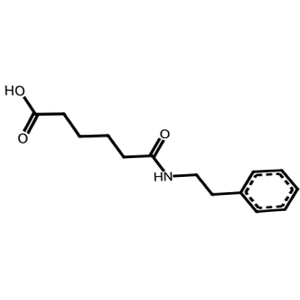 O=C(O)CCCCC(=O)NCCc1ccccc1